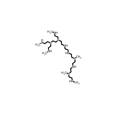 CNCCN(C)CCNCCN(C)CCNCCNCCN(CCNC)CCN(CCNC)CCNC